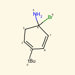 CC(C)(C)C1=CCC(N)(Br)C=C1